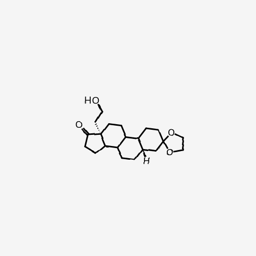 O=C1CCC2C3CC[C@H]4CC5(CCC4C3CC[C@]12CCO)OCCO5